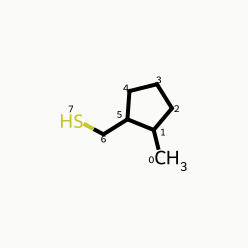 CC1CCCC1CS